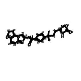 CC(C)(CCc1noc(=O)[nH]1)c1ccc(C(=O)Nc2cn3c4c(ccc3n2)OCC4)cc1